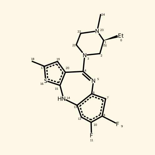 CC[C@H]1CN(C2=Nc3cc(F)c(F)cc3Nc3sc(C)cc32)CCN1C